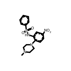 CN1CCN(c2ccc([N+](=O)[O-])cc2NS(=O)(=O)c2ccccc2)CC1